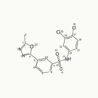 Cc1nnc(-c2cccc(S(=O)(=O)Nc3ccc(Cl)c(Cl)c3)c2)o1